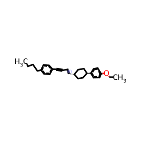 CCCCc1ccc(C#C/C=C/[C@H]2CC[C@H](c3ccc(OCC)cc3)CC2)cc1